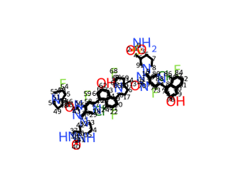 NS(=O)(=O)CC1CCCN(c2nc(OC[C@@]34CCC(c5cc(F)c(Cl)c6c(-c7ncc8c(N9CCC[C@]%10(CNC(=O)N%10)C9)nc(OC[C@@]9%10CCCN9C[C@H](F)C%10)nc8c7F)cc(O)cc56)N3C[C@H](F)C4)nc3c(F)c(-c4cc(O)cc5ccc(F)c(Cl)c45)ncc23)C1